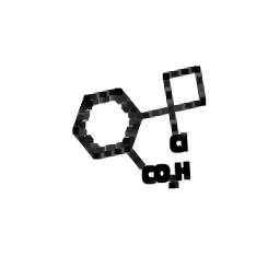 O=C(O)c1ccccc1C1(Cl)CCC1